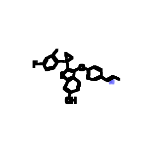 C/C=C/c1ccc(Oc2c(C3(c4ccc(F)cc4C)CC3)sc3cc(O)ccc23)cc1